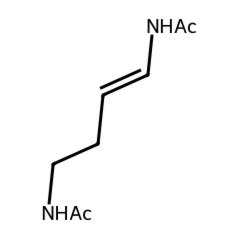 CC(=O)NC=CCCNC(C)=O